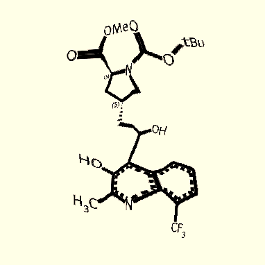 COC(=O)[C@@H]1C[C@@H](CC(O)c2c(O)c(C)nc3c(C(F)(F)F)cccc23)CN1C(=O)OC(C)(C)C